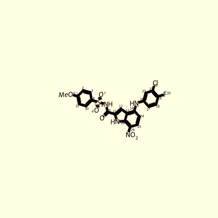 COc1ccc(S(=O)(=O)NC(=O)c2cc3c(Nc4ccc(F)c(Cl)c4)ccc([N+](=O)[O-])c3[nH]2)cc1